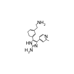 Cc1cc(-c2nc(N)[nH]c2C2=CC(CCN)=CCC2)ccn1